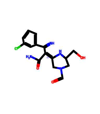 N=C(/C(C(N)=O)=C1/CN(C=O)CC(CO)N1)c1cccc(Cl)c1